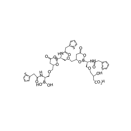 O=C(O)CC(O)COC[C@H](NC(=O)Cc1cccs1)B1OC(=O)CC(COC[C@H](NC(=O)Cc2cccs2)B2OC(=O)CC(COC[C@H](NC(=O)Cc3cccs3)B(O)O)O2)O1